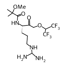 COC(C)(C)C(=O)N[C@@H](CCCNC(N)N)C(=O)COC(C(F)(F)F)C(F)(F)F